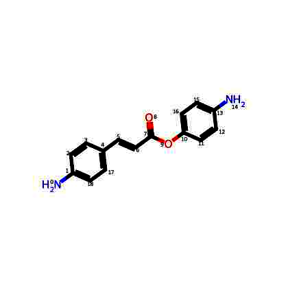 Nc1ccc(C=CC(=O)Oc2ccc(N)cc2)cc1